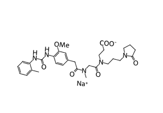 COc1cc(CC(=O)N(C)CC(=O)N(CCCN2CCCC2=O)CCC(=O)[O-])ccc1NC(=O)Nc1ccccc1C.[Na+]